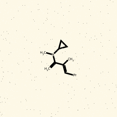 C=C(/C(C)=C/C(C)C)N(C)C1CC1